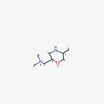 CC1COC(CN(C)C)C[N]1